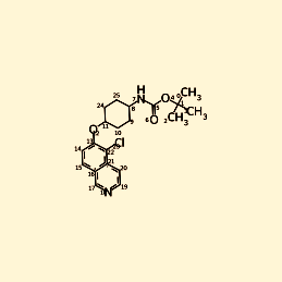 CC(C)(C)OC(=O)NC1CCC(Oc2ccc3cnccc3c2Cl)CC1